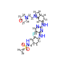 O=S(=O)(NCc1ccc(Nc2nc(Nc3ccc4ccn(CCN5CCOCC5)c4c3)ncc2F)cc1)C1CC1